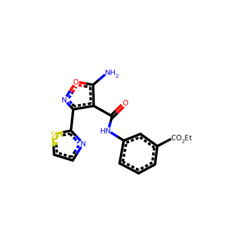 CCOC(=O)c1cccc(NC(=O)c2c(-c3nccs3)noc2N)c1